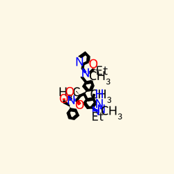 CC[C@@H]1CN(Cc2cc([C@@H](c3ccc4c(c3C)NN(C)N4CC)[C@@H](C)C(=O)N3C(=O)OC[C@H]3c3ccccc3)ccc2C)Cc2ncccc2O1